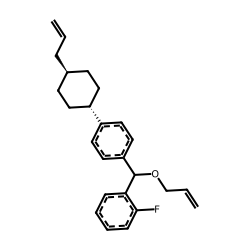 C=CCOC(c1ccc([C@H]2CC[C@H](CC=C)CC2)cc1)c1ccccc1F